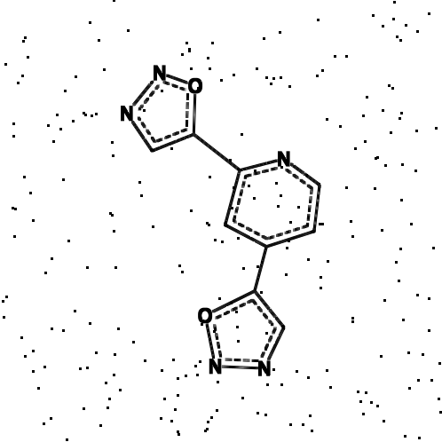 c1cc(-c2cnno2)cc(-c2cnno2)n1